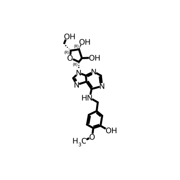 COc1ccc(CNc2ncnc3c2ncn3[C@@H]2O[C@H](CO)[C@H](O)C2O)cc1O